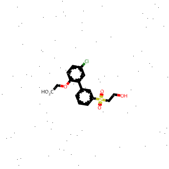 O=C(O)COc1ccc(Cl)cc1-c1cccc(S(=O)(=O)CCO)c1